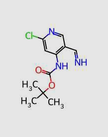 CC(C)(C)OC(=O)Nc1cc(Cl)ncc1C=N